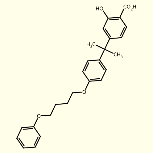 CC(C)(c1ccc(OCCCCOc2ccccc2)cc1)c1ccc(C(=O)O)c(O)c1